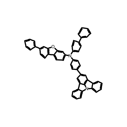 c1ccc(-c2ccc(N(c3ccc(-c4cc5c6ccccc6n6c7ccccc7c(c4)c56)cc3)c3ccc4c(c3)oc3cc(-c5ccccc5)ccc34)cc2)cc1